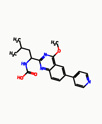 COc1nc(C(CC(C)C)NC(=O)O)nc2ccc(-c3ccncc3)cc12